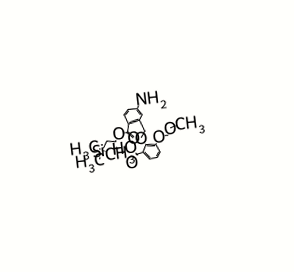 COCOc1cccc(C(=O)O)c1OCc1cc(N)ccc1C(=O)OCC[Si](C)(C)C